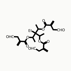 C=C(CC=O)C(=O)OC(C)C(CC)(C(C)OC(=O)C(=C)CC=O)C(C)OC(=O)C(=C)CC=O